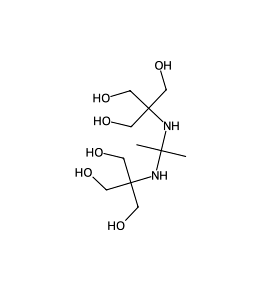 CC(C)(NC(CO)(CO)CO)NC(CO)(CO)CO